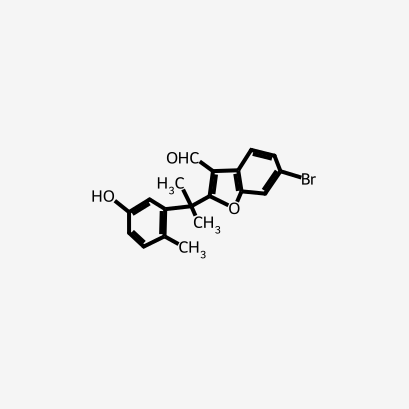 Cc1ccc(O)cc1C(C)(C)c1oc2cc(Br)ccc2c1C=O